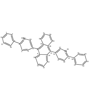 c1ccc(-c2ccc(-c3c4ccccc4c(-c4ccc(-c5ccccc5)nc4)c4ccccc34)cn2)cc1